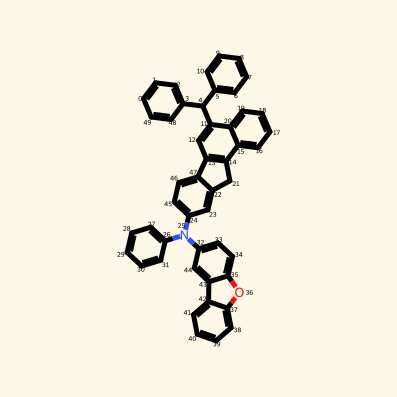 c1ccc(C(c2ccccc2)c2cc3c(c4ccccc24)Cc2cc(N(c4ccccc4)c4ccc5oc6ccccc6c5c4)ccc2-3)cc1